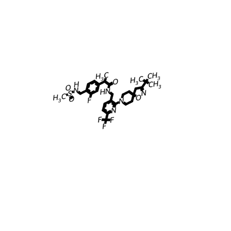 CC(C(=O)NCc1ccc(C(F)(F)F)nc1N1CCC2(CC1)CC(C(C)(C)C)=NO2)c1ccc(CNS(C)(=O)=O)c(F)c1